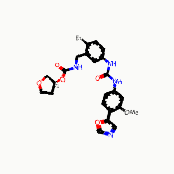 CCc1ccc(NC(=O)Nc2ccc(-c3cnco3)c(OC)c2)cc1CNC(=O)O[C@H]1CCOC1